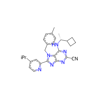 Cc1ccc(Cn2c(-c3cc(C(C)C)ccn3)nc3nc(C#N)nc(N[C@H](C)C4CCC4)c32)cc1